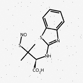 CC(C)(SN=O)[C@@H](Nc1nc2ccccc2s1)C(=O)O